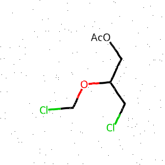 CC(=O)OCC(CCl)OCCl